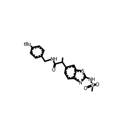 CC(C(=O)NCc1ccc(C(C)(C)C)cc1)c1ccc2nc(NS(C)(=O)=O)sc2c1